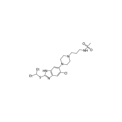 CCC(CC)Sc1nc2cc(Cl)c(N3CCN(CCCNS(C)(=O)=O)CC3)cc2[nH]1